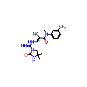 CN(C(=O)/C(C#N)=C/NC(=N)N1CC(C)(C)NC1=O)c1cccc(C(F)(F)F)c1